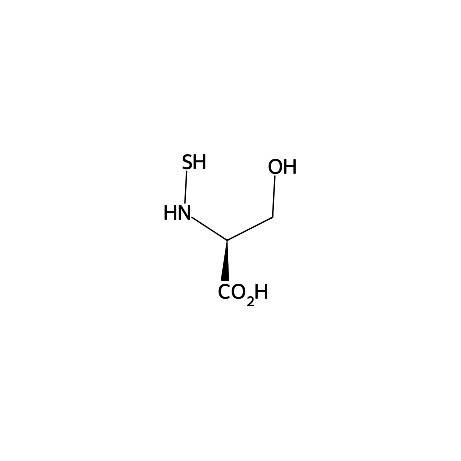 O=C(O)[C@H](CO)NS